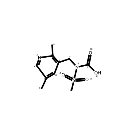 Cc1cnc(C)c(CN(C(=O)O)S(C)(=O)=O)c1